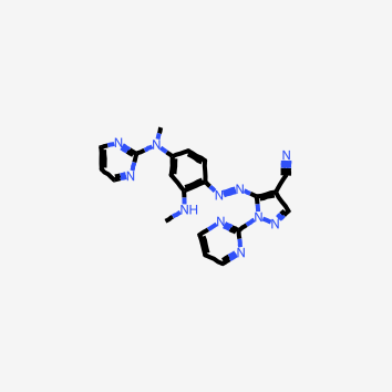 CNc1cc(N(C)c2ncccn2)ccc1/N=N/c1c(C#N)cnn1-c1ncccn1